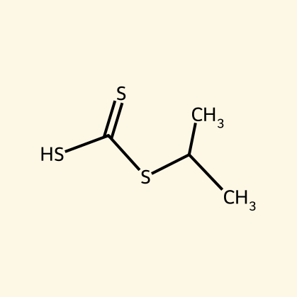 CC(C)SC(=S)S